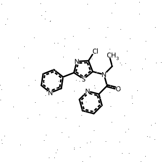 CCN(C(=O)c1ccccn1)c1sc(-c2cccnc2)nc1Cl